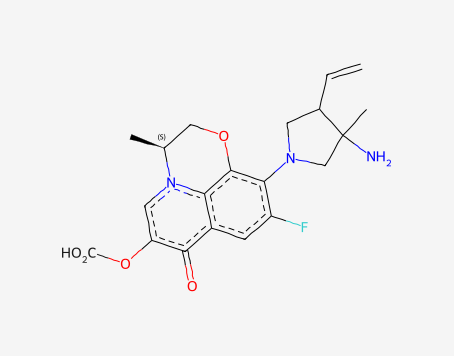 C=CC1CN(c2c(F)cc3c(=O)c(OC(=O)O)cn4c3c2OC[C@@H]4C)CC1(C)N